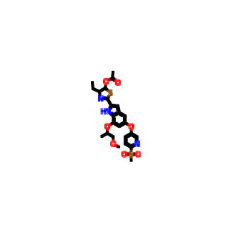 CCC1N=C(c2cc3cc(Oc4ccc(S(C)(=O)=O)nc4)cc(OC(C)COC)c3[nH]2)SC1OC(C)=O